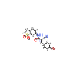 N#C/C(=C\c1ccc(Br)cc1)C(=O)Nc1ccc2c(c1)S(=O)(=O)C=C2